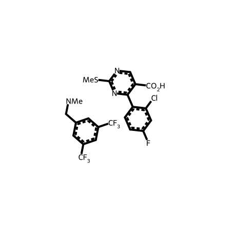 CNCc1cc(C(F)(F)F)cc(C(F)(F)F)c1.CSc1ncc(C(=O)O)c(-c2ccc(F)cc2Cl)n1